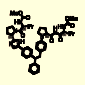 COC(=O)N[C@H](C(=O)NC(=O)[C@@H]1CCCN1c1ccc(CC(c2ccccc2)c2ccc(-c3cnc([C@@H]4CCCN4C(=O)[C@@H](NC(=O)OC)C(C)C)[nH]3)cc2)cc1)C(C)C